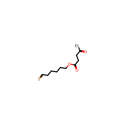 CCC(=O)CCC(=O)OCCCCCC=S